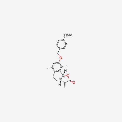 C=C1C(=O)O[C@H]2c3c(C)c(OCc4ccc(OC)cc4)cc(C)c3CC[C@@H]12